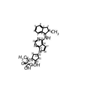 C[C@H]1Cc2ccccc2[C@H]1Nc1ncnc2c1ccn2[C@@H]1C[C@@H](O)[C@H](N(C)S(=O)(=O)O)C1